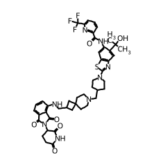 CC(C)(O)c1cc2nc(N3CCC(CN4CCC5(CC4)CC(CNc4cccc6c4C(=O)N(C4CCC(=O)NC4=O)C6=O)C5)CC3)sc2cc1NC(=O)c1cccc(C(F)(F)F)n1